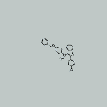 COc1ccc(-c2sc3ccccc3c2N(C=O)c2ccc(OCc3ccccc3)cc2)cc1